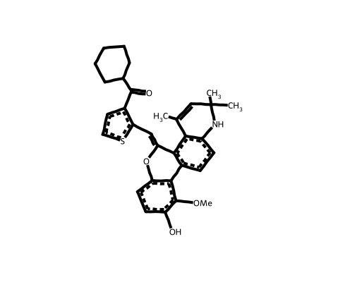 COc1c(O)ccc2c1-c1ccc3c(c1/C(=C/c1sccc1C(=O)C1CCCCC1)O2)C(C)=CC(C)(C)N3